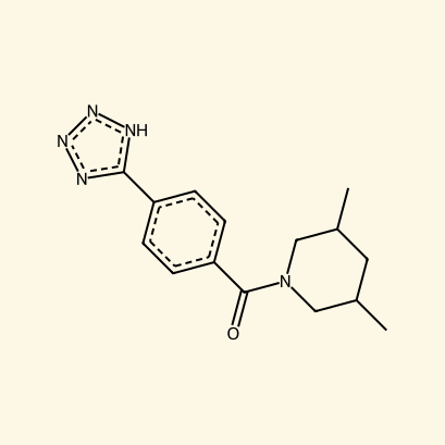 CC1CC(C)CN(C(=O)c2ccc(-c3nnn[nH]3)cc2)C1